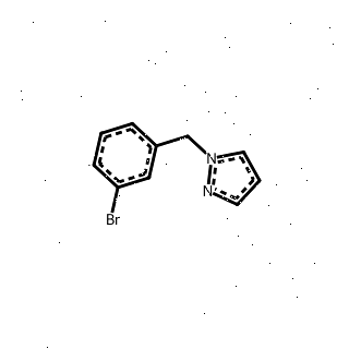 Brc1[c]ccc(Cn2cccn2)c1